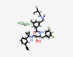 C#Cc1cccc(C2(NC[C@@H](O)[C@H](Cc3cc(F)cc(F)c3)NC(=O)c3cc(C)cc(CN(C)CCC(C)C)c3)CC2)c1.Cl.Cl